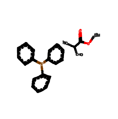 CC(C)(C)OC(=O)C(C#N)C=O.c1ccc([S+](c2ccccc2)c2ccccc2)cc1